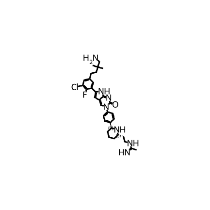 CC(=N)NCC[C@@H]1CCC[C@@H](c2ccc(-n3cc4cc(-c5cc(CCC(C)(C)CN)cc(Cl)c5F)[nH]c4nc3=O)cc2)N1